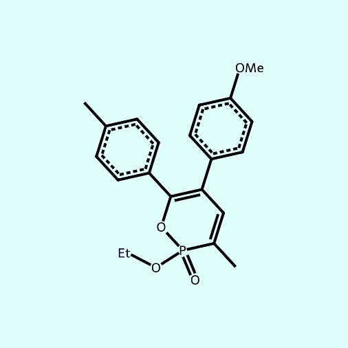 CCOP1(=O)OC(c2ccc(C)cc2)=C(c2ccc(OC)cc2)C=C1C